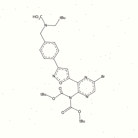 CC(C)(C)CN(Cc1ccc(-c2cc(-c3nc(Br)cnc3N(C(=O)OC(C)(C)C)C(=O)OC(C)(C)C)on2)cc1)C(=O)O